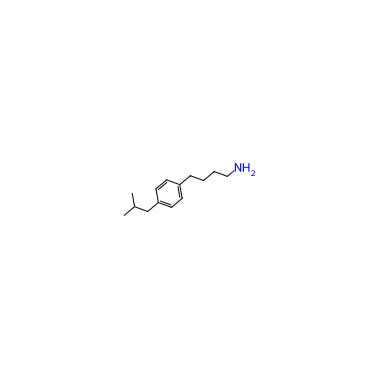 CC(C)Cc1ccc(CCCCN)cc1